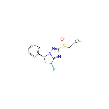 [O-][S@+](CC1CC1)c1nc2n(n1)[C@H](c1ccccc1)C[C@@H]2F